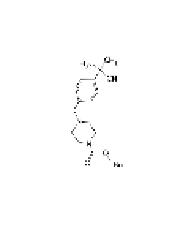 CC(C)(C)OC(=O)N1CCN(Cc2ccc(C(C)(C)C#N)cc2)CC1